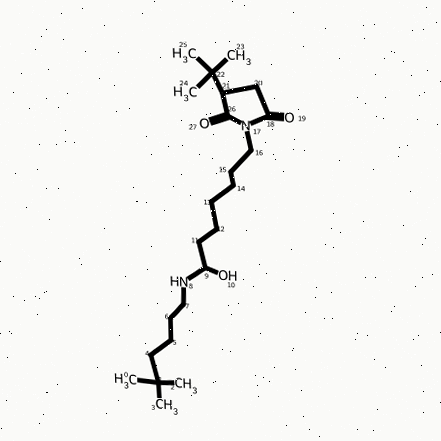 CC(C)(C)CCCCNC(O)CCCCCCN1C(=O)CC(C(C)(C)C)C1=O